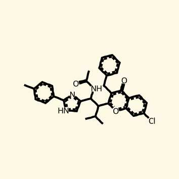 CC(=O)NC(c1c[nH]c(-c2ccc(C)cc2)n1)C(c1oc2cc(Cl)ccc2c(=O)c1Cc1ccccc1)C(C)C